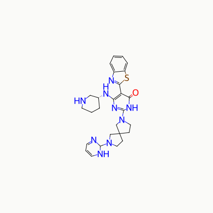 O=c1[nH]c(N2CCC3(CCN(C4N=CC=CN4)C3)C2)nc(N[C@@H]2CCCNC2)c1-c1nc2ccccc2s1